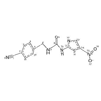 N#Cc1ccc(CNC(=O)Nc2ncc([N+](=O)[O-])s2)cc1